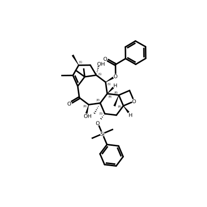 CC1=C2C(=O)[C@H](O)[C@]3(C)[C@@H](O[Si](C)(C)c4ccccc4)C[C@H]4OC[C@@]4(C)[C@H]3[C@H](OC(=O)c3ccccc3)[C@](O)(C[C@@H]1C)C2(C)C